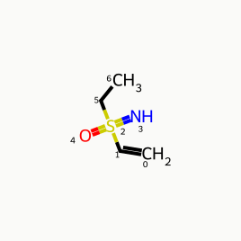 C=CS(=N)(=O)CC